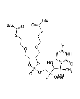 CO[C@](F)(COP(=O)(OCCOCCSC(=O)C(C)(C)C)OCCOCCSC(=O)C(C)(C)C)[C@@H](O)[C@@](C)(O)n1ccc(=O)[nH]c1=O